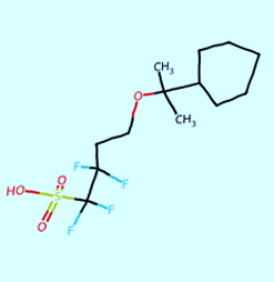 CC(C)(OCCC(F)(F)C(F)(F)S(=O)(=O)O)C1CCCCC1